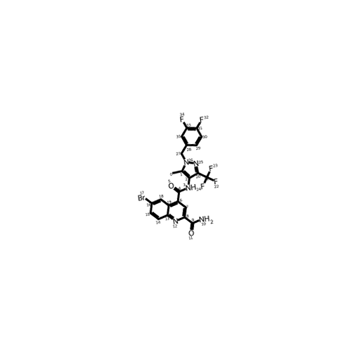 Cc1c(NC(=O)c2cc(C(N)=O)nc3ccc(Br)cc23)c(C(F)(F)F)nn1Cc1ccc(F)c(F)c1